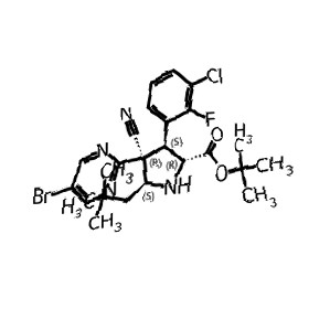 CC(C)(C)C[C@@H]1N[C@@H](C(=O)OC(C)(C)C)[C@H](c2cccc(Cl)c2F)[C@]1(C#N)c1ncc(Br)cn1